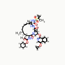 C[C@@H]1CC/C=C\[C@@H]2C[C@@]2(C(=O)NS(=O)(=O)C2(C)CC2)NC(=O)[C@@H]2C[C@@H](Oc3ncc(OC4CC4)c4ccccc34)CN2C(=O)[C@@H](NC(=O)OC2CCCCC2)[C@H](C)C1